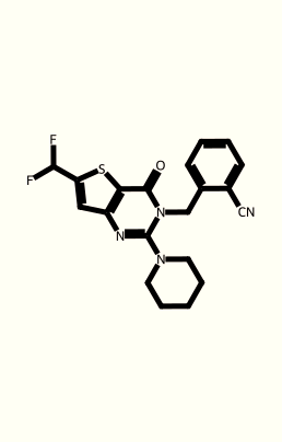 N#Cc1ccccc1Cn1c(N2CCCCC2)nc2cc(C(F)F)sc2c1=O